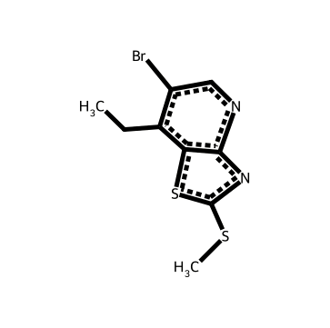 CCc1c(Br)cnc2nc(SC)sc12